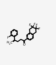 C=C(CCC(=O)c1ccc2c(c1)CC(F)(F)C(F)(F)C2)c1ccccc1F